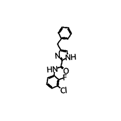 O=C(Nc1cccc(Cl)c1F)c1nc(Cc2ccccc2)c[nH]1